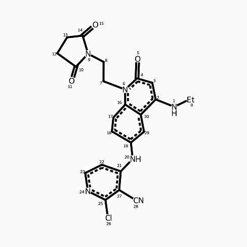 CCNc1cc(=O)n(CCN2C(=O)CCC2=O)c2ccc(Nc3ccnc(Cl)c3C#N)cc12